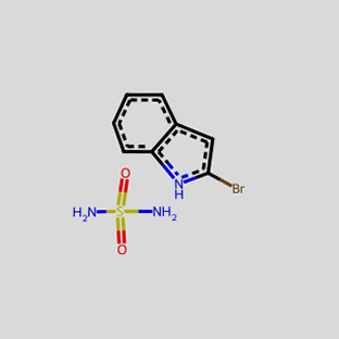 Brc1cc2ccccc2[nH]1.NS(N)(=O)=O